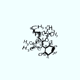 CCCC[C@@H](O[Si](C)(C)C)[C@H](O[Si](C)(C)C)c1c(Cl)cccc1Cl